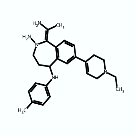 CCN1CC=C(c2ccc3c(c2)C(Nc2ccc(C)cc2)CCN(N)/C3=C(/C)N)CC1